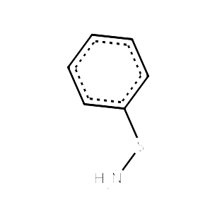 NSc1cc[c]cc1